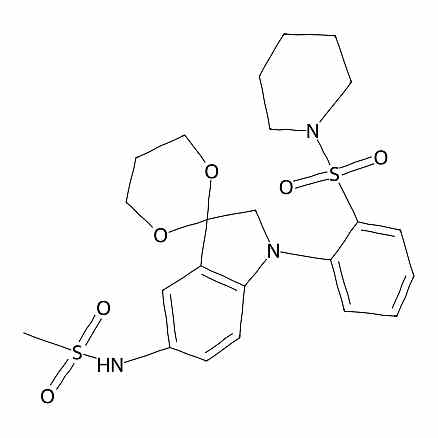 CS(=O)(=O)Nc1ccc2c(c1)C1(CN2c2ccccc2S(=O)(=O)N2CCCCC2)OCCCO1